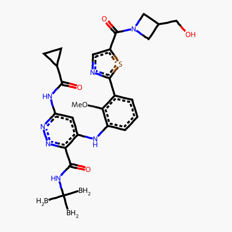 BC(B)(B)NC(=O)c1nnc(NC(=O)C2CC2)cc1Nc1cccc(-c2ncc(C(=O)N3CC(CO)C3)s2)c1OC